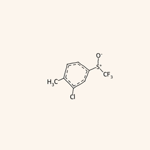 Cc1ccc([S+]([O-])C(F)(F)F)cc1Cl